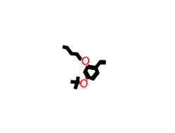 C=Cc1ccc(OC(C)(C)C)cc1OCCCCC